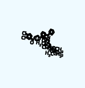 CC(C)(C)OC(=O)C(CCCCB1OC(C)(C)C(C)(C)O1)(CCCN1CCN(C(=O)c2ccc(Cl)c(Cl)c2)CC1)N=C(c1ccccc1)c1ccccc1